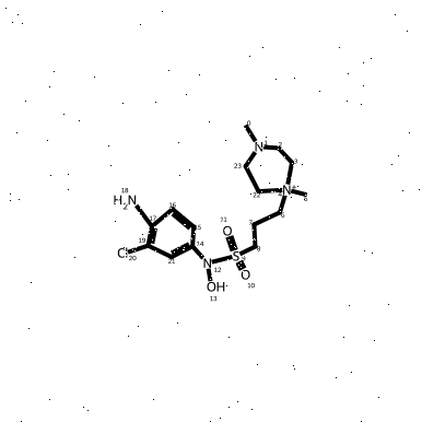 CN1CC[N+](C)(CCCS(=O)(=O)N(O)c2ccc(N)c(Cl)c2)CC1